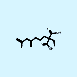 C=C(C)CC(=C)CCCC(CC)(C(=O)O)C(=O)O